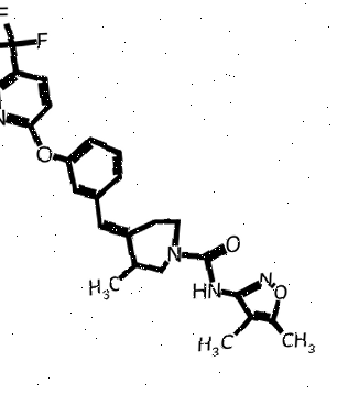 Cc1onc(NC(=O)N2CCC(=Cc3cccc(Oc4ccc(C(F)(F)F)cn4)c3)C(C)C2)c1C